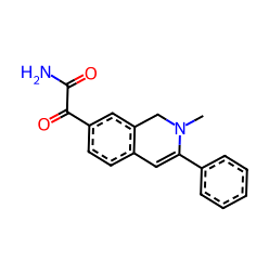 CN1Cc2cc(C(=O)C(N)=O)ccc2C=C1c1ccccc1